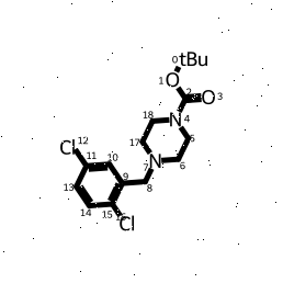 CC(C)(C)OC(=O)N1CCN(Cc2cc(Cl)ccc2Cl)CC1